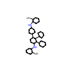 CCCc1ccccc1Nc1ccc(-c2ccc(Nc3ccccc3CCC)c(-c3ccccc3)c2-c2ccccc2)cc1